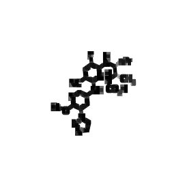 CCC[C@@H](Nc1nc(Nc2cnc(OCC)c(-n3ccnn3)c2)c(C#N)cc1F)[C@H](C)NC(=O)O